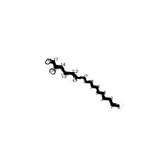 CCCCCCCCC=CCCCCCC(=O)C=O